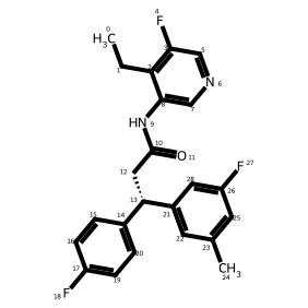 CCc1c(F)cncc1NC(=O)C[C@@H](c1ccc(F)cc1)c1cc(C)cc(F)c1